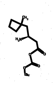 CC1(C[C@H](N)CC(=O)OC(=O)OC(C)(C)C)CCC1